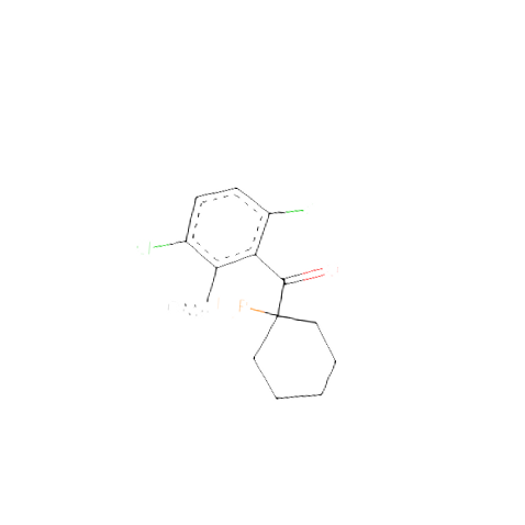 COc1c(Cl)ccc(Cl)c1C(=O)C1(P)CCCCC1